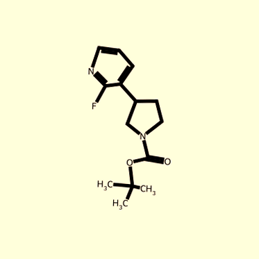 CC(C)(C)OC(=O)N1CCC(c2cccnc2F)C1